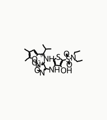 CCN(CC)S(=O)(=O)c1scc(Nc2no[n+]([O-])c2N[C@@H](c2cc(C)c(C)o2)C(C)C)c1O